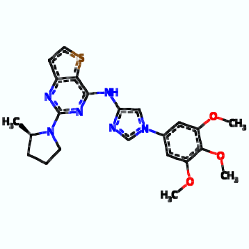 COc1cc(-n2cnc(Nc3nc(N4CCC[C@H]4C)nc4ccsc34)c2)cc(OC)c1OC